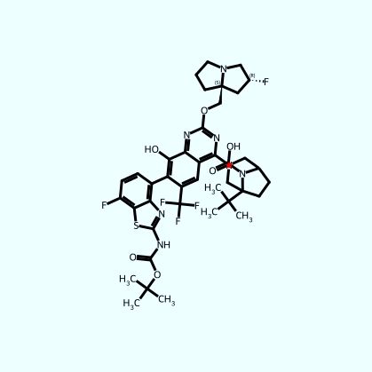 CC(C)(C)OC(=O)Nc1nc2c(-c3c(C(F)(F)F)cc4c(N5CC6CCC(C(C)(C)C)(C5)N6C(=O)O)nc(OC[C@@]56CCCN5C[C@H](F)C6)nc4c3O)ccc(F)c2s1